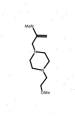 C=C(CN1CCN(CCOC)CC1)NC